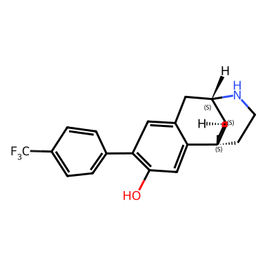 Oc1cc2c(cc1-c1ccc(C(F)(F)F)cc1)C[C@@H]1NCC[C@]23CCCC[C@H]13